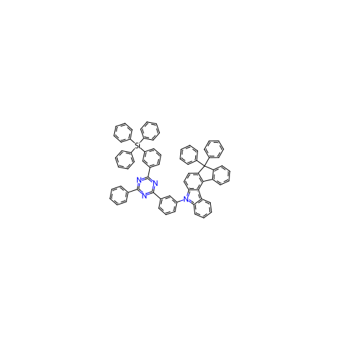 c1ccc(-c2nc(-c3cccc(-n4c5ccccc5c5c6c(ccc54)C(c4ccccc4)(c4ccccc4)c4ccccc4-6)c3)nc(-c3cccc([Si](c4ccccc4)(c4ccccc4)c4ccccc4)c3)n2)cc1